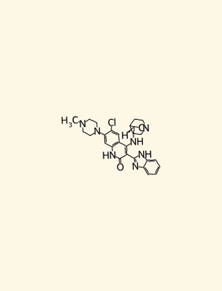 CN1CCN(c2cc3[nH]c(=O)c(-c4nc5ccccc5[nH]4)c(N[C@H]4CN5CCC4CC5)c3cc2Cl)CC1